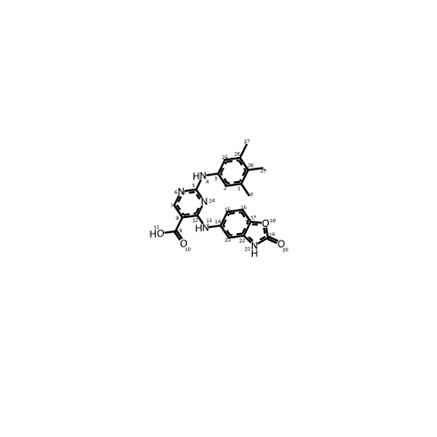 Cc1cc(Nc2ncc(C(=O)O)c(Nc3ccc4oc(=O)[nH]c4c3)n2)cc(C)c1C